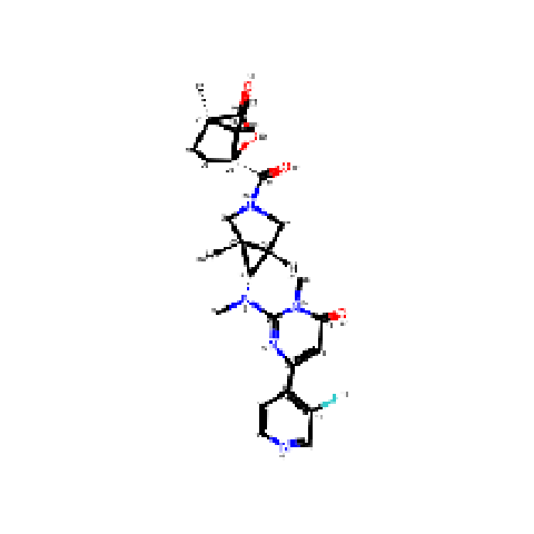 CN(c1nc(-c2ccncc2F)cc(=O)n1C)[C@@H]1[C@@H]2CN(C(=O)[C@@]34CC[C@@](C)(C(=O)O3)C4(C)C)C[C@@H]21